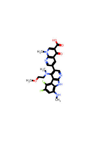 CNc1cc(F)c(F)c2c1[nH]c1ncc(-c3cnc4c(c3)c(=O)c(C(=O)O)cn4C)c(N(C)CCOC)c12